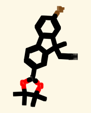 B=CC1(C)c2cc(Br)ccc2-c2ccc(B3OC(C)(C)C(C)(C)O3)cc21